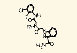 CC(C)N(CC(=O)Nc1cccc(Cl)c1F)C(=O)Cn1nc(C(N)=O)c2ccccc21